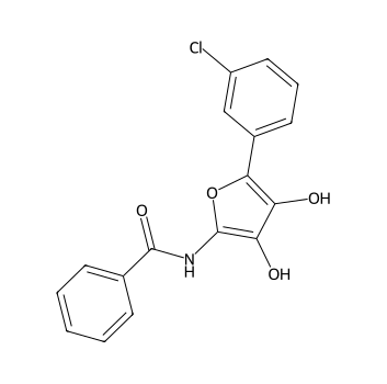 O=C(Nc1oc(-c2cccc(Cl)c2)c(O)c1O)c1ccccc1